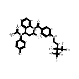 CC(=O)N(c1ccc(Cl)cc1)C1CC(C)N(C(=O)c2ccc(OCCC(O)(C(F)(F)F)C(F)(F)F)cc2)c2ccccc21